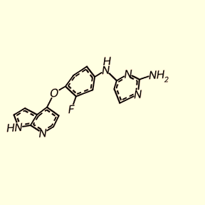 Nc1nccc(Nc2ccc(Oc3ccnc4[nH]ccc34)c(F)c2)n1